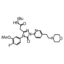 COc1cc(-n2c(CC(=O)NC(C)(C)C)nn(-c3ccc(CCN4CCOCC4)cn3)c2=O)ccc1F